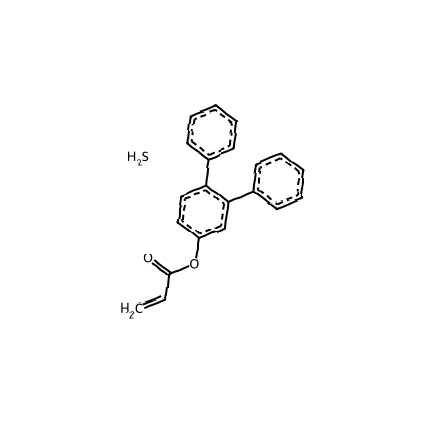 C=CC(=O)Oc1ccc(-c2ccccc2)c(-c2ccccc2)c1.S